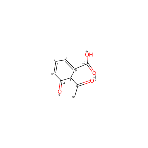 CC(=O)C1C(=O)C=CC=C1C(=O)O